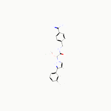 CCO[C@@H](C(=O)NCc1ccc(C(=N)N)cc1)n1ccc(-c2cccc(NC(C)=O)c2)n1.Cl